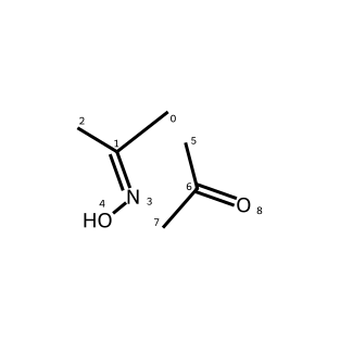 CC(C)=NO.CC(C)=O